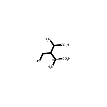 CC(C)CC(C(N)C(=O)O)[C@H](N)C(=O)O